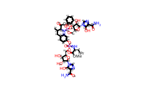 COC(=O)[C@H](CC(C)C)NP(=O)(OC[C@H]1O[C@@H](n2cnc(C(N)=O)c2O)[C@H](O)[C@@H]1O)Oc1ccc(CC(C)[C@H](NP(=O)(OC[C@H]2O[C@@H](n3cnc(C(N)=O)c3O)[C@H](O)[C@@H]2O)Oc2ccccc2)C(=O)OC)cc1